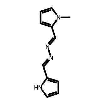 Cn1cccc1C=NN=Cc1ccc[nH]1